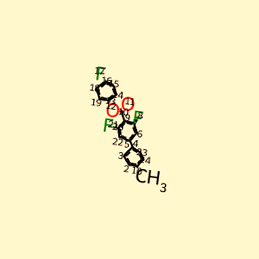 Cc1ccc(-c2cc(F)c(C(=O)Oc3ccc(F)cc3)c(F)c2)cc1